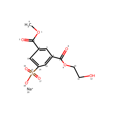 COC(=O)c1cc(C(=O)OCCO)cc(S(=O)(=O)[O-])c1.[Na+]